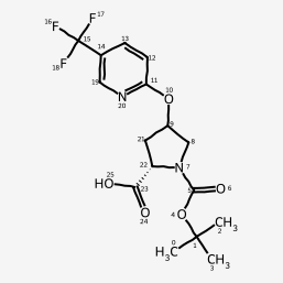 CC(C)(C)OC(=O)N1CC(Oc2ccc(C(F)(F)F)cn2)C[C@H]1C(=O)O